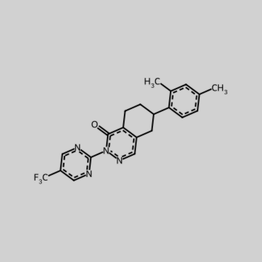 Cc1ccc(C2CCc3c(cnn(-c4ncc(C(F)(F)F)cn4)c3=O)C2)c(C)c1